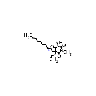 C=CCC1(C/C=C/CCCCCCC)C(=O)N(C)C(=O)N(C)C1=O